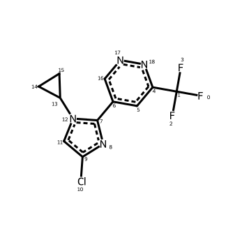 FC(F)(F)c1cc(-c2nc(Cl)cn2C2CC2)cnn1